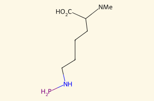 CNC(CCCCNP)C(=O)O